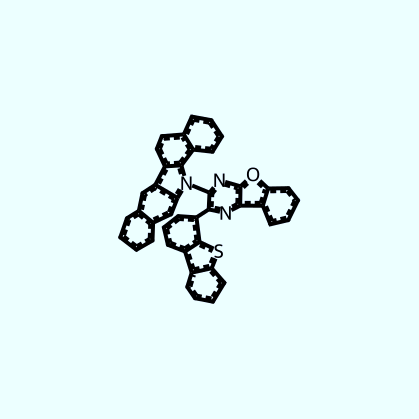 c1ccc2cc3c(cc2c1)c1ccc2ccccc2c1n3-c1nc2oc3ccccc3c2nc1-c1cccc2c1sc1ccccc12